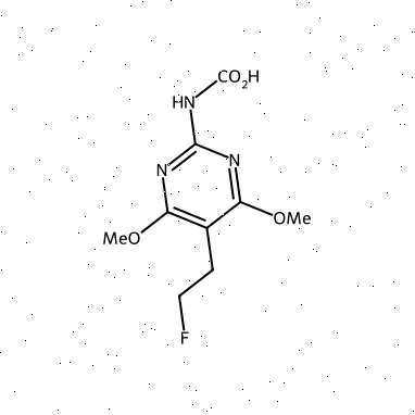 COc1nc(NC(=O)O)nc(OC)c1CCF